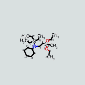 CCO[Si](C)(CCN(C1CCCCC1)[Si](CC)(CC)CC)OCC